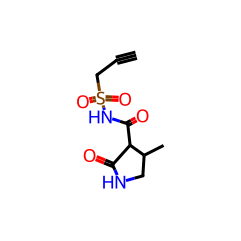 C#CCS(=O)(=O)NC(=O)C1C(=O)NCC1C